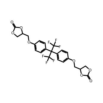 O=C1OCC(COc2ccc(C(c3ccc(OCC4COC(=O)O4)cc3)(C(F)(F)F)C(F)(F)F)cc2)O1